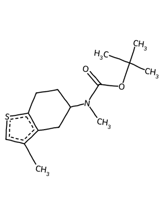 Cc1csc2c1CC(N(C)C(=O)OC(C)(C)C)CC2